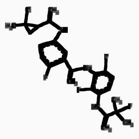 C=C(Nc1c(F)ccc(NC(=C)C(C)(C)F)c1F)c1cc(NC(=C)C2CC2(C)Cl)ccc1F